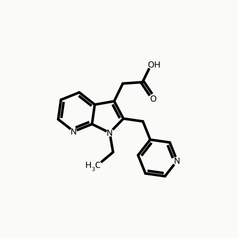 CCn1c(Cc2cccnc2)c(CC(=O)O)c2cccnc21